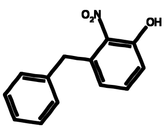 O=[N+]([O-])c1c(O)cccc1Cc1ccccc1